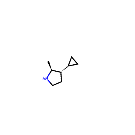 C[C@@H]1NCC[C@H]1C1CC1